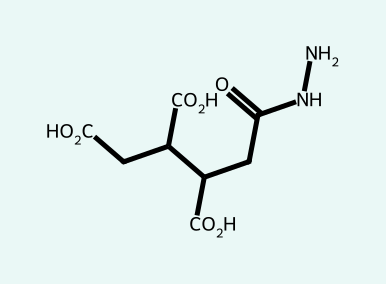 NNC(=O)CC(C(=O)O)C(CC(=O)O)C(=O)O